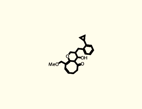 COCC1=C2OCC(Cc3ccccc3C3CC3)C(O)C2C(=O)CCC=C1